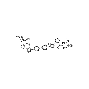 C/N=C(\N[C@H](C(=O)N1CCC[C@H]1c1ncc(-c2ccc(-c3ccc(-c4cnc([C@@H]5CCCN5C(=O)[C@H](C(C)C)N(C)C(=O)O)[nH]4)cc3)cc2)[nH]1)C(C)C)N(C)C#N